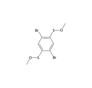 COSc1cc(Br)c(SOC)cc1Br